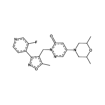 Cc1onc(-c2ccncc2F)c1Cn1ncc(N2CC(C)OC(C)C2)cc1=O